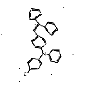 Clc1ccc(N(c2ccccc2)c2ccc(C=C(c3ccccc3)c3ccccc3)cc2)cc1